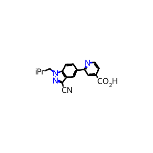 CC(C)Cn1nc(C#N)c2cc(-c3cc(C(=O)O)ccn3)ccc21